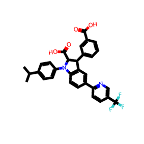 CC(C)c1ccc(N2c3ccc(-c4ccc(C(F)(F)F)cn4)cc3C(c3cccc(C(=O)O)c3)C2C(=O)O)cc1